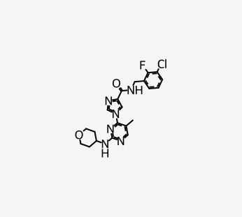 Cc1cnc(NC2CCOCC2)nc1-n1cnc(C(=O)NCc2cccc(Cl)c2F)c1